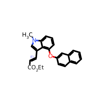 CCOC(=O)/C=C/c1cn(C)c2cccc(Oc3ccc4ccccc4c3)c12